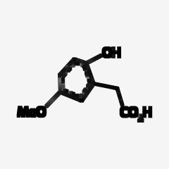 COc1ccc(O)c(CC(=O)O)c1